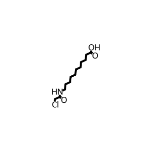 O=C(O)CCCCCCCCCCNC(=O)CCl